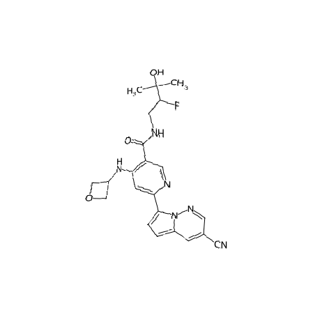 CC(C)(O)C(F)CNC(=O)c1cnc(-c2ccc3cc(C#N)cnn23)cc1NC1COC1